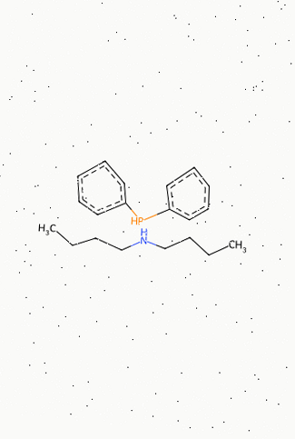 CCCCNCCCC.c1ccc(Pc2ccccc2)cc1